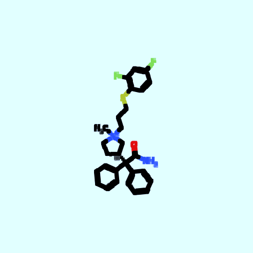 C[N+]1(CCCSc2ccc(F)cc2F)CC[C@@H](C(C(N)=O)(c2ccccc2)c2ccccc2)C1